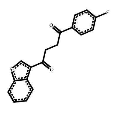 O=C(CCC(=O)c1csc2ccccc12)c1ccc(F)cc1